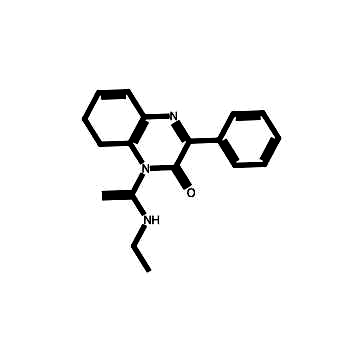 C=C(NCC)n1c2c(nc(-c3ccccc3)c1=O)C=CCC2